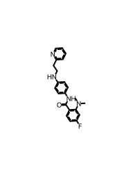 CN(C)c1cc(F)ccc1C(=O)Nc1ccc(NCCc2ccccn2)cc1